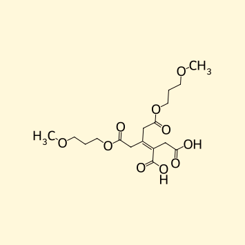 COCCCOC(=O)CC(CC(=O)OCCCOC)=C(CC(=O)O)C(=O)O